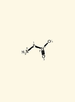 N[P][N+](=O)[O-]